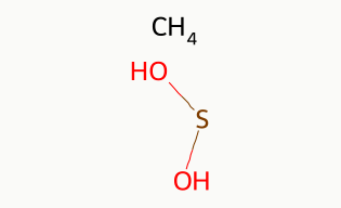 C.OSO